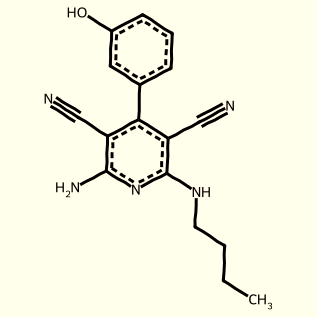 CCCCNc1nc(N)c(C#N)c(-c2cccc(O)c2)c1C#N